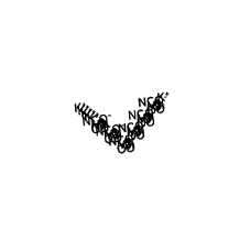 N#[C][Mn](=[O])(=[O])[O-].N#[C][Mn](=[O])(=[O])[O-].N#[C][Mn](=[O])(=[O])[O-].N#[C][Mn](=[O])(=[O])[O-].N#[C][Mn](=[O])(=[O])[O-].N#[C][Mn](=[O])(=[O])[O-].[K+].[K+].[K+].[K+].[K+].[K+]